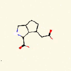 O=C(O)CC1CCC2CNC(C(=O)O)C21